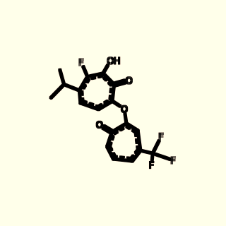 CC(C)c1ccc(Oc2cc(C(F)(F)F)cccc2=O)c(=O)c(O)c1F